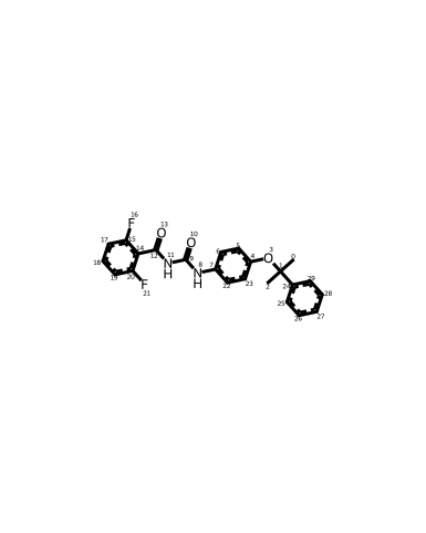 CC(C)(Oc1ccc(NC(=O)NC(=O)c2c(F)cccc2F)cc1)c1ccccc1